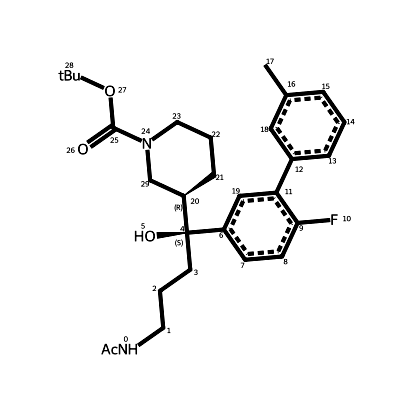 CC(=O)NCCC[C@@](O)(c1ccc(F)c(-c2cccc(C)c2)c1)[C@@H]1CCCN(C(=O)OC(C)(C)C)C1